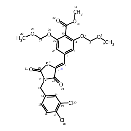 COCOc1cc(/C=C2\SC(=O)N(Cc3ccc(Cl)c(Cl)c3)C2=O)cc(OCOC)c1C(=O)OC